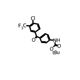 CC(C)(C)OC(=O)Nc1ccc(C(=O)c2ccc(Cl)c(C(F)(F)F)c2)cc1